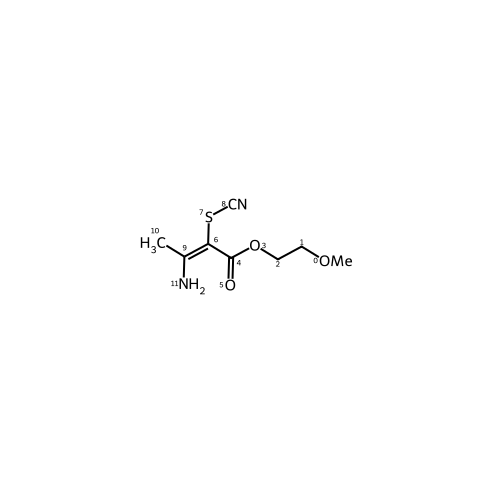 COCCOC(=O)/C(SC#N)=C(/C)N